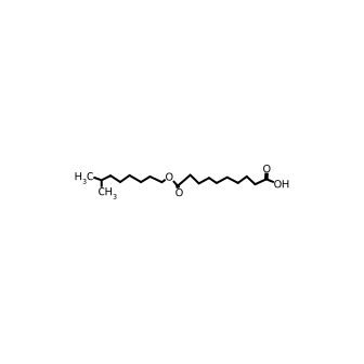 CC(C)CCCCCCOC(=O)CCCCCCCCC(=O)O